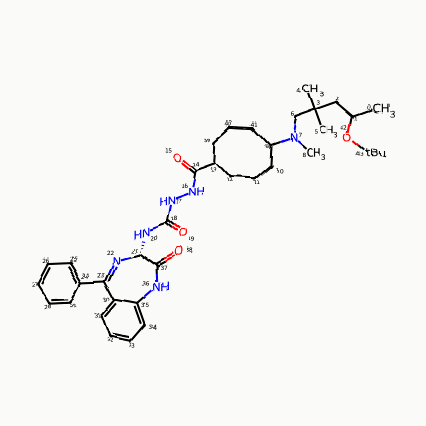 CC(CC(C)(C)CN(C)C1CCCC(C(=O)NNC(=O)N[C@H]2N=C(c3ccccc3)c3ccccc3NC2=O)CCC1)OC(C)(C)C